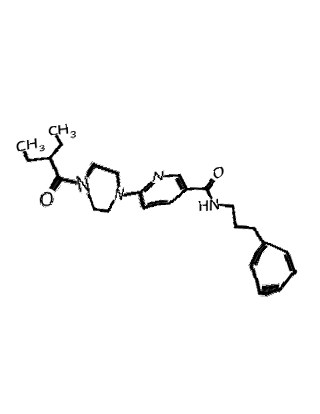 CCC(CC)C(=O)N1CCN(c2ccc(C(=O)NCCCc3ccccc3)cn2)CC1